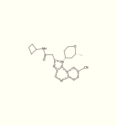 C[C@@H]1C[C@H](n2c(CC(=O)NC3CCC3)nc3cnc4ccc(C#N)cc4c32)CCO1